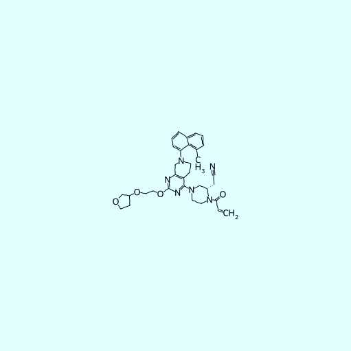 C=CC(=O)N1CCN(c2nc(OCCOC3CCOC3)nc3c2CCN(c2cccc4cccc(C)c24)C3)C[C@@H]1CC#N